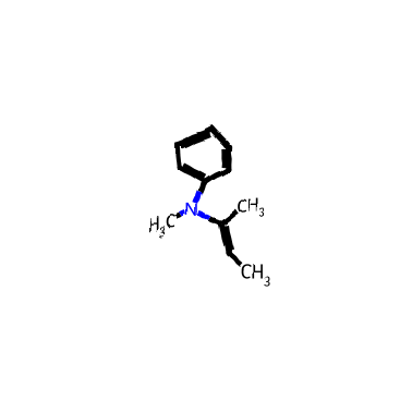 C/C=C(\C)N(C)c1ccccc1